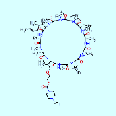 C/C=C/C[C@@H](C)[C@@H](OC(C)=O)[C@H]1C(=O)N[C@@H](CC)C(=O)N(C)[C@H](C)C(=O)N(C)[C@@H]([C@H](C)COCCOC(=O)N2CCN(C)CC2)C(=O)N[C@@H](C(C)C)C(=O)N(C)[C@@H](CCC(C)C)C(=O)N[C@@H](C)C(=O)N[C@H](C)C(=O)N(C)[C@@H](CC(C)C)C(=O)N(C)[C@@H](CC(C)C)C(=O)N(C)[C@@H](C(C)C)C(=O)N1C